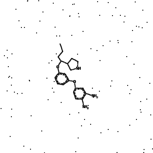 CCCC(Oc1cccc(Oc2ccc(N)c(N)c2)c1)C1CCNC1